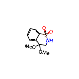 COC1(OC)CNS(=O)(=O)c2ccccc21